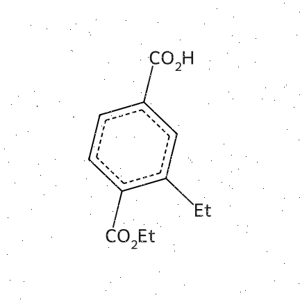 CCOC(=O)c1ccc(C(=O)O)cc1CC